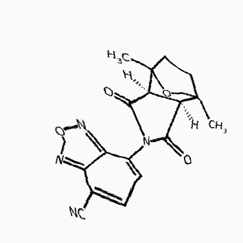 CC12CCC(C)(O1)[C@H]1C(=O)N(c3ccc(C#N)c4nonc34)C(=O)[C@H]12